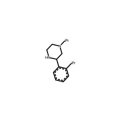 CC(C)c1ccccc1C1CN(C(C)C)CCN1